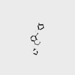 O=C(Nc1ccc(F)c(F)c1)c1cccc2c1OCC[C@@H]2Nc1ncccn1